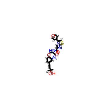 CN1C(=O)[C@@H](NC(=O)c2cn3c(C4CCOCC4)csc3n2)COc2ccc(C#CC(C)(C)O)cc21